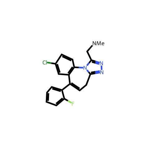 CNCc1nnc2n1-c1ccc(Cl)cc1C(c1ccccc1F)=CC2